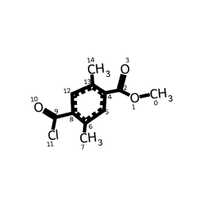 COC(=O)c1cc(C)c(C(=O)Cl)cc1C